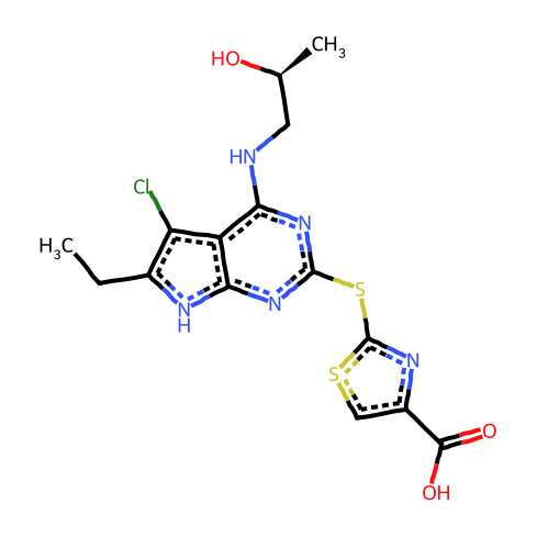 CCc1[nH]c2nc(Sc3nc(C(=O)O)cs3)nc(NC[C@H](C)O)c2c1Cl